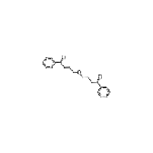 O=C(CCCOCCCC(=O)c1ccccc1)c1ccccc1